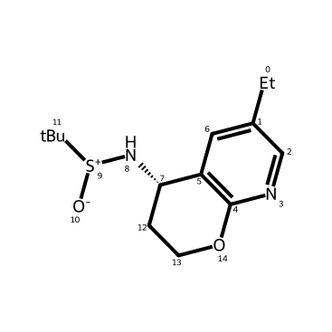 CCc1cnc2c(c1)[C@@H](N[S+]([O-])C(C)(C)C)CCO2